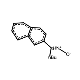 CCCCC(=[NH+][O-])c1ccc2ccccc2c1